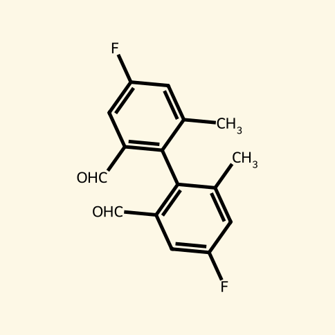 Cc1cc(F)cc(C=O)c1-c1c(C)cc(F)cc1C=O